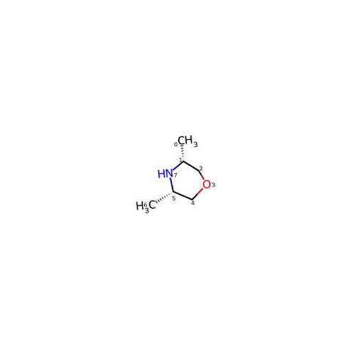 C[C@@H]1COC[C@H](C)N1